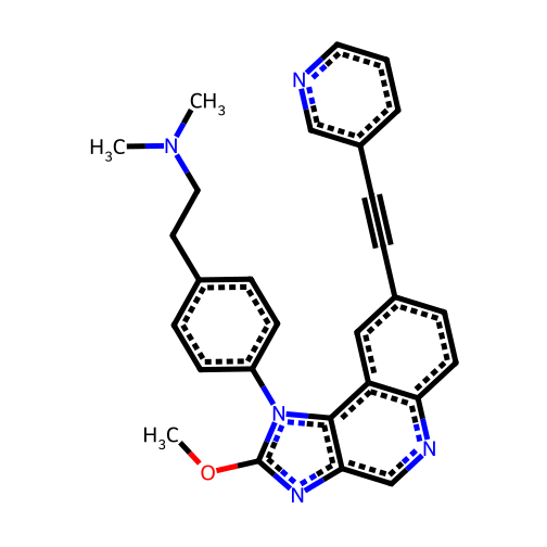 COc1nc2cnc3ccc(C#Cc4cccnc4)cc3c2n1-c1ccc(CCN(C)C)cc1